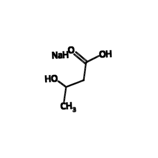 CC(O)CC(=O)O.[NaH]